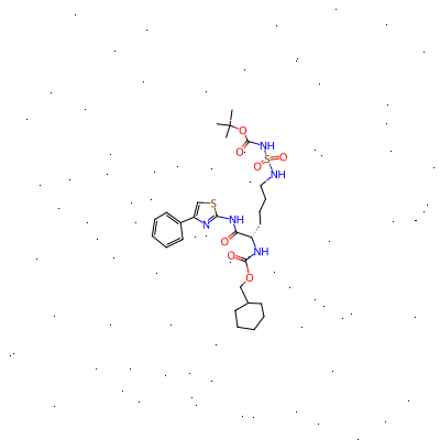 CC(C)(C)OC(=O)NS(=O)(=O)NCCCC[C@H](NC(=O)OCC1CCCCC1)C(=O)Nc1nc(-c2ccccc2)cs1